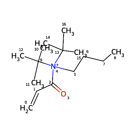 C=CC(=O)[N+](CCCC)(C(C)(C)C)C(C)(C)C